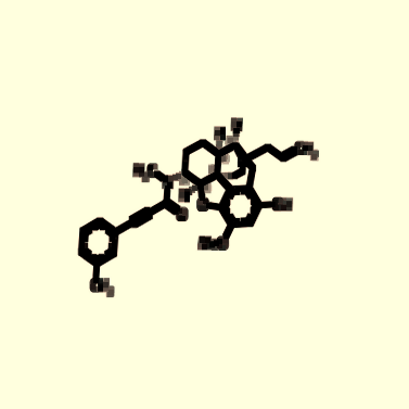 C=CCN1CC[C@]23c4c5c(O)cc(OC)c4O[C@H]2[C@H](N(C)C(=O)C#Cc2cccc(C)c2)CC[C@H]3[C@H]1C5